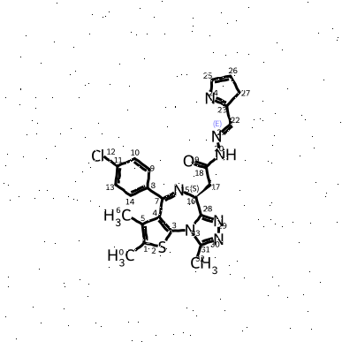 Cc1sc2c(c1C)C(c1ccc(Cl)cc1)=N[C@@H](CC(=O)N/N=C/C1=NC=CC1)c1nnc(C)n1-2